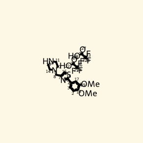 COc1ccc(-c2nc(CN3CCNCC3)cs2)cc1OC.O=C(O)C(F)(F)F.O=C(O)C(F)(F)F